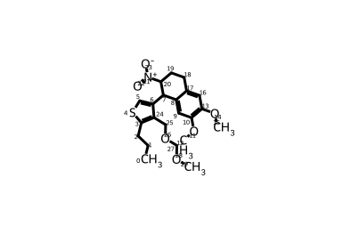 CCCc1scc(C2c3cc(OC)c(OC)cc3CCC2[N+](=O)[O-])c1COCOC